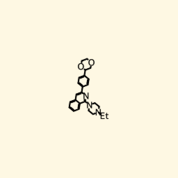 CCN1CCN(c2nc(-c3ccc(C4COCCO4)cc3)cc3ccccc23)CC1